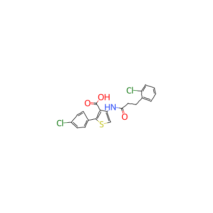 O=C(CCc1ccccc1Cl)Nc1csc(-c2ccc(Cl)cc2)c1C(=O)O